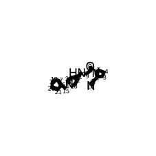 N#CC1CCCN1C(=O)CNC1C2CN(Cc3ccccc3)CC21